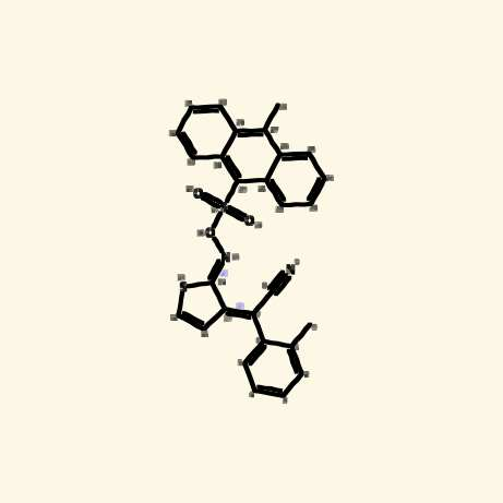 Cc1ccccc1/C(C#N)=C1\C=CS\C1=N/OS(=O)(=O)c1c2ccccc2c(C)c2ccccc12